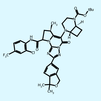 C[C@@H]1CC(C(=O)Nc2ccc(C(F)(F)F)cc2Cl)n2c1c(N1CCN(C(=O)OC(C)(C)C)[C@H]3CC[C@@H]31)c(=O)n1nc(-c3ccc4c(c3)COC4(C)C)nc21